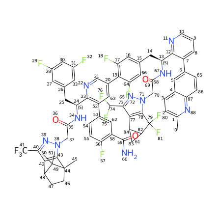 Cc1ccc2cc(-c3cccnc3[C@H](Cc3cc(F)c(-c4cnc([C@H](Cc5cc(F)cc(F)c5)NC(=O)Cn5nc(C(F)(F)F)c6c5C5(C)CCC6C5(C)C)c(-c5ccc(F)c(C(N)=O)c5)c4)c(F)c3)NC(=O)Cn3nc(C(F)F)c4c3C(F)(F)C3CC43)ccc2n1